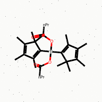 CCCC(=O)[O][Ti]([O]C(=O)CCC)([C]1=C(C)C(C)=C(C)C1(C)C)[C]1=C(C)C(C)=C(C)C1(C)C